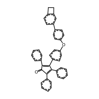 O=C1C(c2ccccc2)=C(c2ccccc2)C(c2ccc(Oc3ccc(-c4ccc5c(c4)CC5)cc3)cc2)=C1c1ccccc1